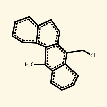 Cc1c2ccccc2c(CCl)c2ccc3ccccc3c12